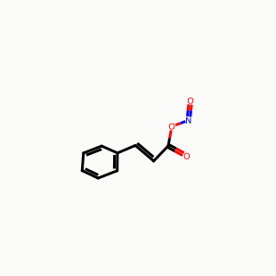 O=NOC(=O)C=Cc1ccccc1